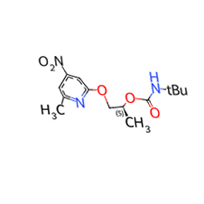 Cc1cc([N+](=O)[O-])cc(OC[C@H](C)OC(=O)NC(C)(C)C)n1